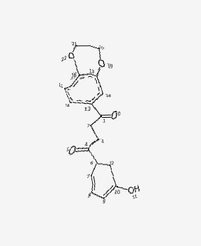 O=C(CCC(=O)C1C=CC=C(O)C1)c1ccc2c(c1)OCCO2